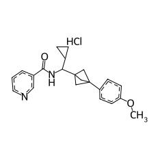 COc1ccc(C23CC(C(NC(=O)c4cccnc4)C4CC4)(C2)C3)cc1.Cl